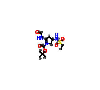 CCS(=O)(=O)N[C@@H]1C[C@@H](NC=O)N(C(=O)OC(C)(C)C)C1